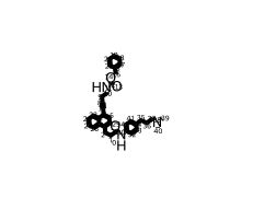 C[C@H](Cc1ccc(C#CCCNC(=O)OCc2ccccc2)c2ccccc12)C(=O)Nc1ccc(CCCN(C)C)cc1